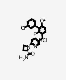 COc1ccc(Cc2ccc(N3CC[C@H]3C(N)=O)nc2)c(F)c1-c1cccc(Cl)c1.Cl